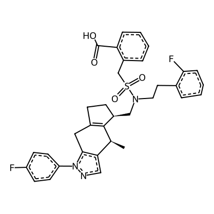 C[C@@H]1C2=C(CC[C@H]2CN(CCc2ccccc2F)S(=O)(=O)Cc2ccccc2C(=O)O)Cc2c1cnn2-c1ccc(F)cc1